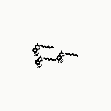 CCCCCCCC[S+]([O-])C(C)Cc1ccc2c(c1)OCO2.CCCCCCCC[S+]([O-])C(C)Cc1ccc2c(c1)OCO2.CCCCCCCC[S+]([O-])C(C)Cc1ccc2c(c1)OCO2